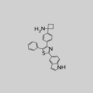 NC1(c2ccc(-c3nc(-c4ccc5[nH]ccc5c4)sc3-c3ccccc3)cc2)CCC1